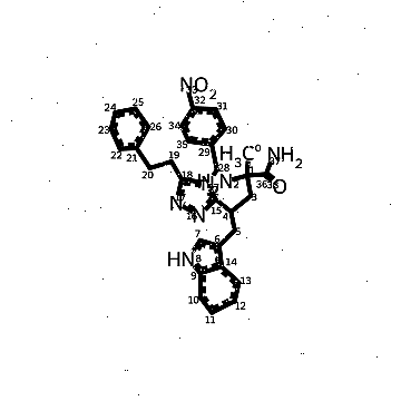 CC(N)(CC(Cc1c[nH]c2ccccc12)c1nnc(CCc2ccccc2)n1Cc1ccc([N+](=O)[O-])cc1)C(N)=O